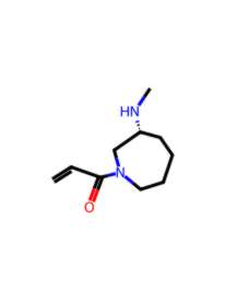 C=CC(=O)N1CCCC[C@@H](NC)C1